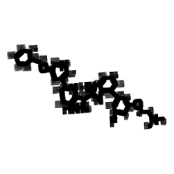 CN(C)CCOc1cc(F)cc(-c2cccc3[nH]c(-c4n[nH]c5ccc(-c6cncc(OCc7ccccc7)c6)nc45)nc23)c1